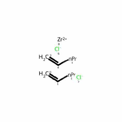 C=CCCC.C=CCCC.[Cl-].[Cl-].[Zr+2]